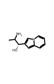 CC(N)[C@@H](O)c1cc2ccccn2c1